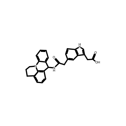 O=C(O)Cc1c[nH]c2ccc(CC(=O)NC(c3ccccc3)c3ccccc3N3CCCCC3)cc12